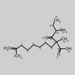 C=C(C)CCCCCCC(C)(C(=O)O)C(=O)C(N)CC